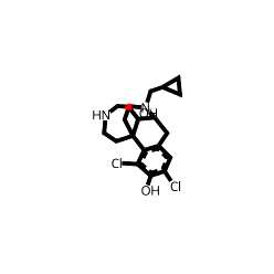 Oc1c(Cl)cc2c(c1Cl)C13CCNCCC1(O)C(C2)N(CC1CC1)CC3